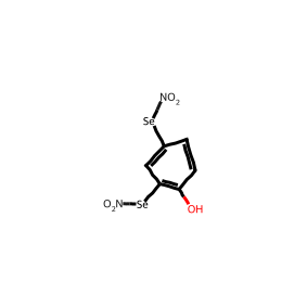 O=[N+]([O-])[Se]c1ccc(O)c([Se][N+](=O)[O-])c1